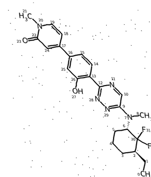 CC[C@H]1CCC[C@H](N(C)c2cnc(-c3ccc(-c4ccn(C)c(=O)c4)cc3O)nn2)C1(F)F